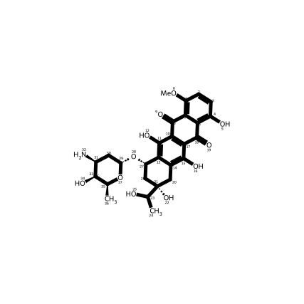 COc1ccc(O)c2c1C(=O)c1c(O)c3c(c(O)c1C2=O)C[C@@](O)(C(C)O)C[C@@H]3O[C@H]1C[C@H](N)[C@H](O)[C@H](C)O1